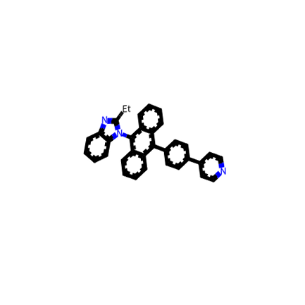 CCc1nc2ccccc2n1-c1c2ccccc2c(-c2ccc(-c3ccncc3)cc2)c2ccccc12